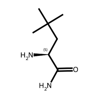 CC(C)(C)C[C@H](N)C(N)=O